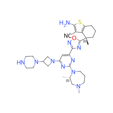 C[C@H]1CN(C)CCCN1c1nc(-c2noc([C@@]3(C)CCCc4sc(N)c(C#N)c43)n2)cc(N2CC(N3CCNCC3)C2)n1